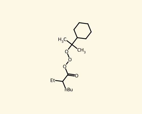 CCCCC(CC)C(=O)OOOC(C)(C)C1CCCCC1